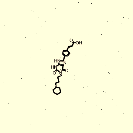 O=C(O)C=Cc1ccc(-c2nc3c(=O)n(CCCCC4CCCCC4)c(=O)[nH]c3[nH]2)cc1